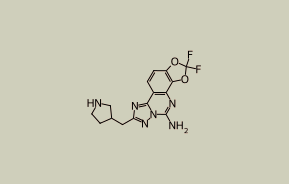 Nc1nc2c3c(ccc2c2nc(CC4CCNC4)nn12)OC(F)(F)O3